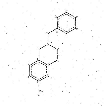 CC(C)c1ccc2c(n1)CCN(Cc1ccccc1)C2